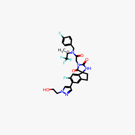 C[C@H](N(Cc1ccc(F)cc1)C(=O)CN1C(=O)NC2(CCc3cc(-c4cnn(CCO)c4)c(F)cc32)C1=O)C(F)(F)F